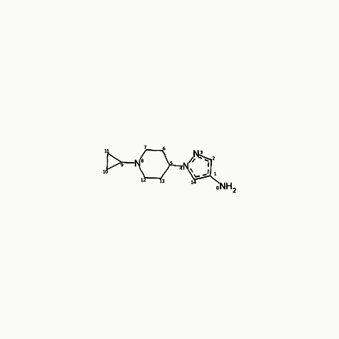 Nc1cnn(C2CCN(C3CC3)CC2)c1